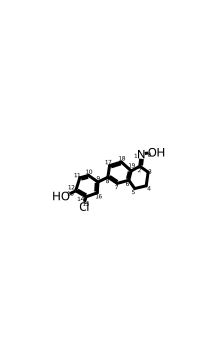 O/N=C1\CCCc2cc(-c3ccc(O)c(Cl)c3)ccc21